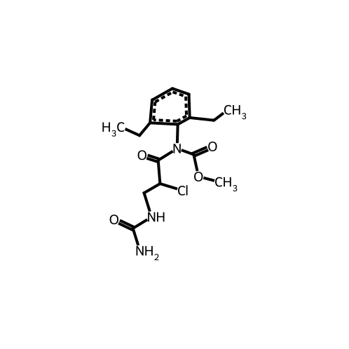 CCc1cccc(CC)c1N(C(=O)OC)C(=O)C(Cl)CNC(N)=O